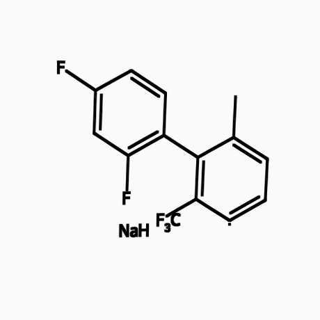 Cc1cc[c]c(C(F)(F)F)c1-c1ccc(F)cc1F.[NaH]